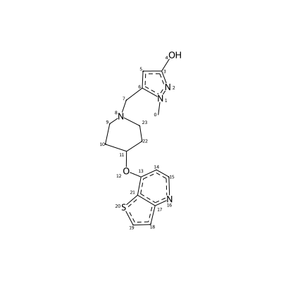 Cn1nc(O)cc1CN1CCC(Oc2ccnc3ccsc23)CC1